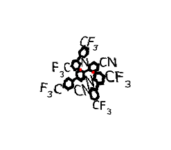 N#Cc1ccc(-c2ccc(-c3ccc(C(F)(F)F)cc3C#N)cc2-n2c3ccc(C(F)(F)F)cc3c3cc(C(F)(F)F)ccc32)c(-n2c3ccc(C(F)(F)F)cc3c3cc(C(F)(F)F)ccc32)c1